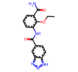 CCOc1c(NC(=O)c2ccc3[nH]nnc3c2)cccc1C(N)=O